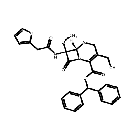 CO[C@@]1(NC(=O)Cc2ccco2)C(=O)N2C(C(=O)OC(c3ccccc3)c3ccccc3)=C(CO)CS[C@H]21